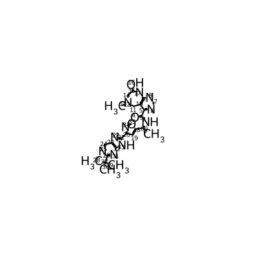 C[C@@H](NC(=O)c1ncnc2c1CN(C)CC(=O)N2)c1cc(-c2nc3cnc(C(C)(C)C)nc3[nH]2)no1